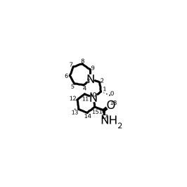 C[C@@H](CN1CCCCCC1)N1CC[CH]CC1C(N)=O